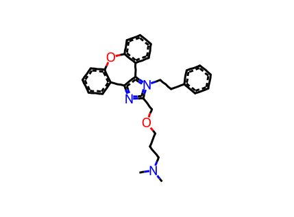 CN(C)CCCOCc1nc2c(n1CCc1ccccc1)-c1ccccc1Oc1ccccc1-2